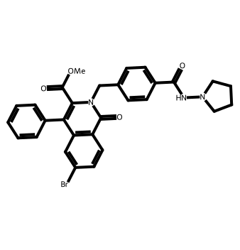 COC(=O)c1c(-c2ccccc2)c2cc(Br)ccc2c(=O)n1Cc1ccc(C(=O)NN2CCCC2)cc1